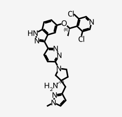 C[C@@H](Oc1ccc2[nH]nc(-c3ccc(N4CC[C@@](N)(Cc5ccn(C)n5)C4)nn3)c2c1)c1c(Cl)cncc1Cl